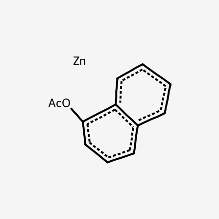 CC(=O)Oc1cccc2ccccc12.[Zn]